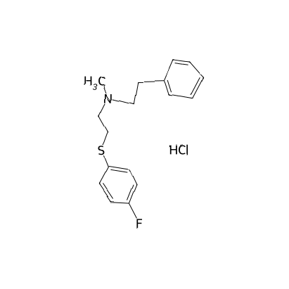 CN(CCSc1ccc(F)cc1)CCc1ccccc1.Cl